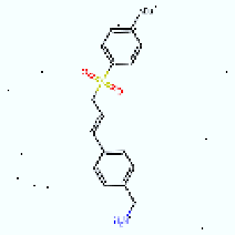 CCCCc1ccc(S(=O)(=O)CC=Cc2ccc(CN)cc2)cc1